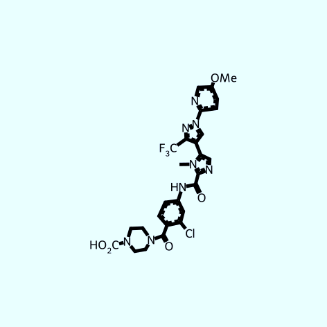 COc1ccc(-n2cc(-c3cnc(C(=O)Nc4ccc(C(=O)N5CCN(C(=O)O)CC5)c(Cl)c4)n3C)c(C(F)(F)F)n2)nc1